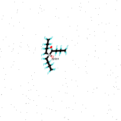 CCCCCC[O][Sn]([CH](F)C(F)(F)C(F)(F)C(F)F)([CH](F)C(F)(F)C(F)(F)C(F)F)[CH](F)C(F)(F)C(F)(F)C(F)F